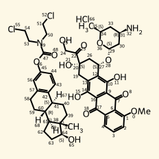 COc1cccc2c1C(=O)c1c(O)c3c(c(O)c1C2=O)C[C@@](O)(C(=O)CO)C[C@@H]3O[C@H]1C[C@H](N)C[C@H](C)O1.C[C@]12CC[C@@H]3c4ccc(OC(=O)N(CCCl)CCCl)cc4CC[C@H]3[C@@H]1CC[C@@H]2O.Cl